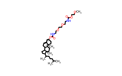 COCCOC(=O)NCCOCCOCCNC(=O)O[C@H]1CC[C@@]2(C)C(=CCC3C4CCC(C(C)CCCC(C)C)[C@@]4(C)CCC32)C1